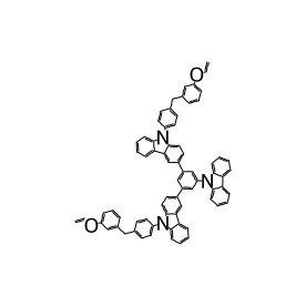 C=COc1cccc(Cc2ccc(-n3c4ccccc4c4cc(-c5cc(-c6ccc7c(c6)c6ccccc6n7-c6ccc(Cc7cccc(OC=C)c7)cc6)cc(-n6c7ccccc7c7ccccc76)c5)ccc43)cc2)c1